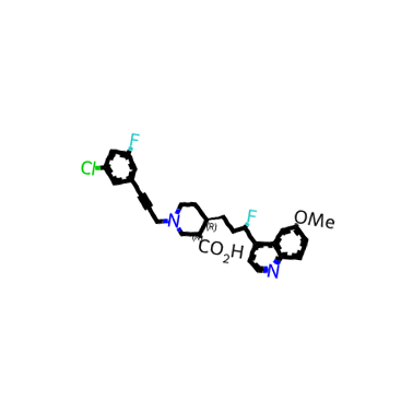 COc1ccc2nccc(C(F)CC[C@@H]3CCN(CC#Cc4cc(F)cc(Cl)c4)C[C@@H]3C(=O)O)c2c1